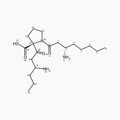 CCCCC[C@H](N)CC(=O)N1CCC[C@@]1(C(=O)O)C(=O)CC(N)CCC